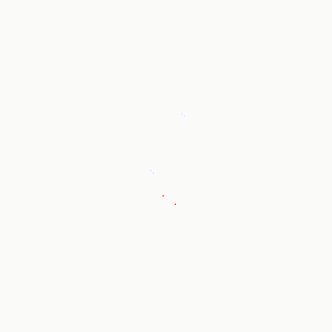 c1ccc(-c2ccc(-c3ccc(N(c4ccc(-c5ccccc5-n5c6ccccc6c6ccccc65)cc4)c4cc(-c5cccc6ccccc56)ccc4-c4ccccc4)cc3)cc2)cc1